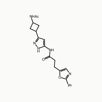 CC(=O)NC1CC(c2cc(NC(=O)CCc3cnc(C(C)C)o3)[nH]n2)C1